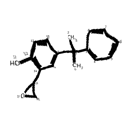 CC(C)(c1ccccc1)c1ccc(O)c(C2CO2)c1